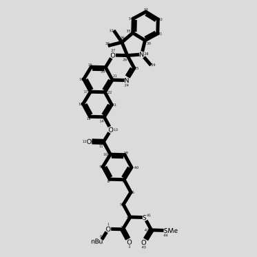 CCCCOC(=O)C(CCc1ccc(C(=O)Oc2ccc3ccc4c(c3c2)N=CC2(O4)N(C)c3ccccc3C2(C)C)cc1)SC(=O)SC